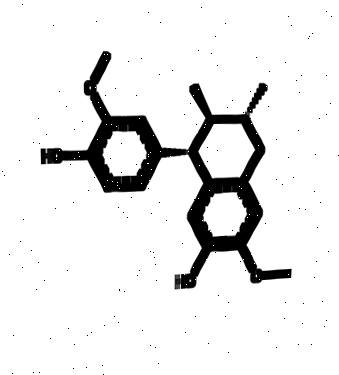 COc1cc([C@H]2c3cc(O)c(OC)cc3C[C@@H](C)[C@@H]2C)ccc1O